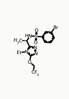 CCn1c(OCC(F)(F)F)nnc1[C@@H](C)NS(=O)(=O)c1cccc(Br)c1